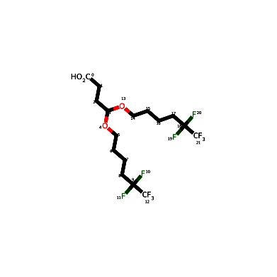 O=C(O)CCC(OCCCCC(F)(F)C(F)(F)F)OCCCCC(F)(F)C(F)(F)F